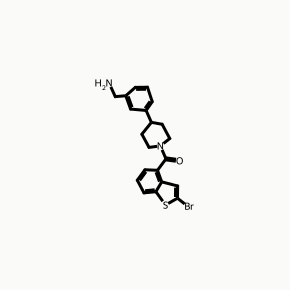 NCc1cccc(C2CCN(C(=O)c3cccc4sc(Br)cc34)CC2)c1